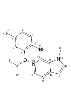 CC(C)Oc1nc(Cl)ccc1Nc1ncnc2ccn(C)c12